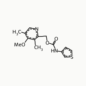 COc1c(C)cnc(COC(=O)Nc2ccsc2)c1C